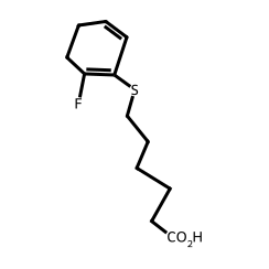 O=C(O)CCCCCSC1=C(F)CCC=C1